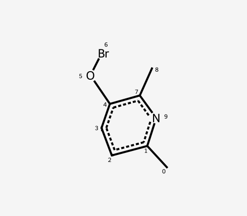 Cc1c[c]c(OBr)c(C)n1